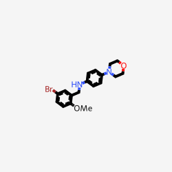 COc1ccc(Br)cc1CNc1ccc(N2CCOCC2)cc1